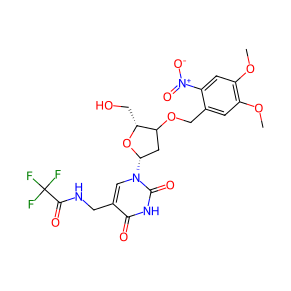 COc1cc(COC2C[C@H](n3cc(CNC(=O)C(F)(F)F)c(=O)[nH]c3=O)O[C@@H]2CO)c([N+](=O)[O-])cc1OC